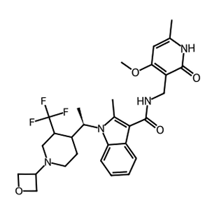 COc1cc(C)[nH]c(=O)c1CNC(=O)c1c(C)n([C@H](C)C2CCN(C3COC3)CC2C(F)(F)F)c2ccccc12